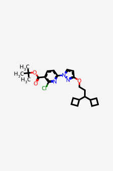 CC(C)(C)OC(=O)c1ccc(-n2ccc(OCCC(C3CCC3)C3CCC3)n2)nc1Cl